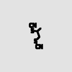 CC(CSC#N)SC#N